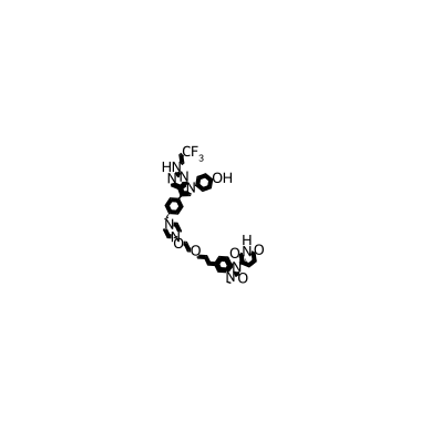 Cn1c(=O)n([C@H]2CCC(=O)NC2=O)c2ccc(CCCOCCON3CCN(C[C@H]4CC[C@H](c5cn([C@H]6CC[C@H](O)CC6)c6nc(NCCC(F)(F)F)ncc65)CC4)CC3)cc21